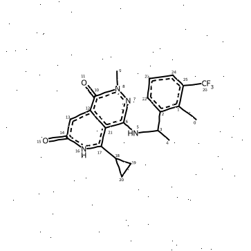 Cc1c(C(C)Nc2nn(C)c(=O)c3cc(=O)[nH]c(C4CC4)c23)cccc1C(F)(F)F